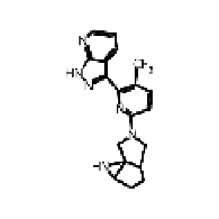 FC(F)(F)c1ccc(N2CC3CCC4NC34C2)nc1-c1n[nH]c2ncccc12